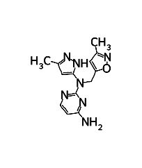 Cc1cc(N(Cc2cc(C)no2)c2nccc(N)n2)[nH]n1